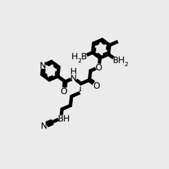 Bc1ccc(C)c(B)c1OCC(=O)[C@H](CCCCBC#N)NC(=O)c1ccncc1